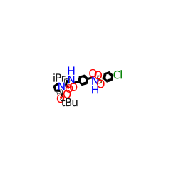 CC(C)[C@H](NC(=O)c1ccc(C(=O)NS(=O)(=O)c2ccc(Cl)cc2)cc1)C(=O)N1CCC[C@H]1C(=O)OC(C)(C)C